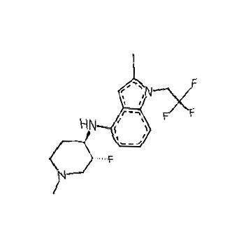 CN1CC[C@@H](Nc2cccc3c2cc(I)n3CC(F)(F)F)[C@H](F)C1